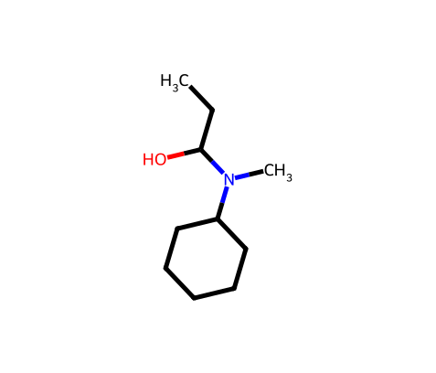 CCC(O)N(C)C1CCCCC1